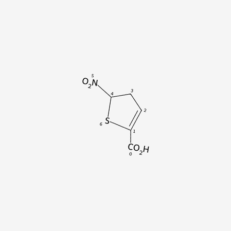 O=C(O)C1=CCC([N+](=O)[O-])S1